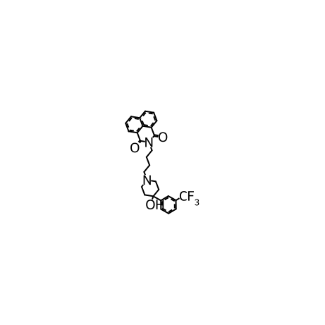 O=C1c2cccc3cccc(c23)C(=O)N1CCCCN1CCC(O)(c2cccc(C(F)(F)F)c2)CC1